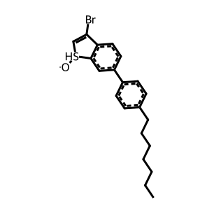 CCCCCCCc1ccc(-c2ccc3c(c2)[SH]([O])C=C3Br)cc1